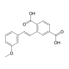 COc1cccc(/C=C/c2cc(C(=O)O)ccc2C(=O)O)c1